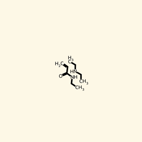 C=CC(=O)NCC.CCNCC